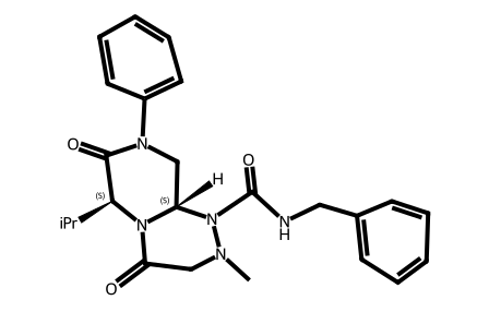 CC(C)[C@H]1C(=O)N(c2ccccc2)C[C@H]2N1C(=O)CN(C)N2C(=O)NCc1ccccc1